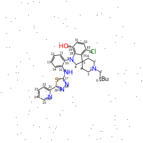 CC(C)(C)CN1CCC2(CC1)CN(c1ccccc1Nc1nnc(-c3ccccn3)s1)c1c(O)ccc(Cl)c12